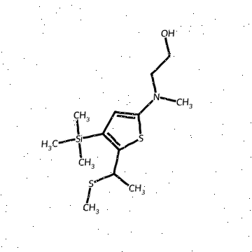 CSC(C)c1sc(N(C)CCO)cc1[Si](C)(C)C